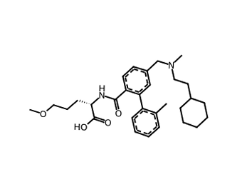 COCCC[C@H](NC(=O)c1ccc(CN(C)CCC2CCCCC2)cc1-c1ccccc1C)C(=O)O